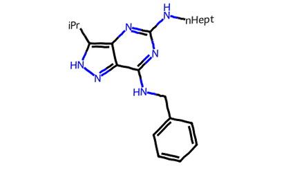 CCCCCCCNc1nc(NCc2ccccc2)c2n[nH]c(C(C)C)c2n1